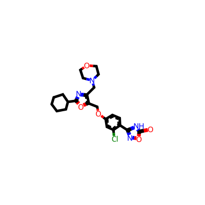 O=c1[nH]c(-c2ccc(OCc3oc(C4CCCCC4)nc3CN3CCOCC3)cc2Cl)no1